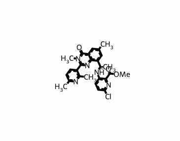 COC(=O)c1nc(Cl)ccc1N[C@H](C)c1cc(C)cc2c(=O)n(C)c(-c3ccc(C)nc3C)nc12